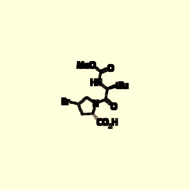 COC(=O)N[C@H](C(=O)N1CC(Br)C[C@H]1C(=O)O)C(C)(C)C